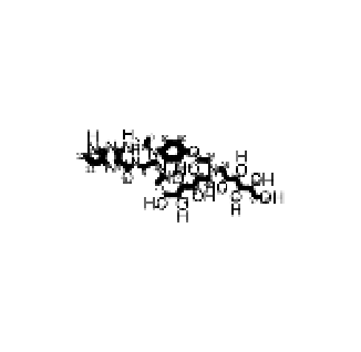 CCn1c(CNC(=O)c2nc3cc[nH]c3nc2N)[n+](CC)c2cc(OCCN(C[C@H](O)[C@@H](O)[C@H](O)[C@H](O)CO)C[C@H](O)[C@@H](O)[C@H](O)[C@H](O)CO)ccc21